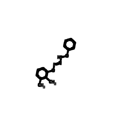 Cc1cccc(OP=NPOc2ccccc2)c1C